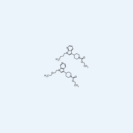 CCCCn1cc(C2CCN(C(=O)OCC)CC2)c2cccnc21.CCOCCn1cc(C2CCN(C(=O)OCC)CC2)c2ccncc21